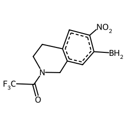 Bc1cc2c(cc1[N+](=O)[O-])CCN(C(=O)C(F)(F)F)C2